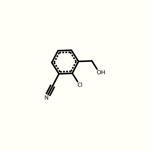 N#Cc1cccc(CO)c1Cl